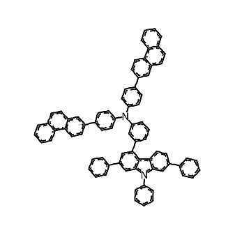 c1ccc(-c2ccc3c4c(-c5cccc(N(c6ccc(-c7ccc8c(ccc9ccccc98)c7)cc6)c6ccc(-c7ccc8c(ccc9ccccc98)c7)cc6)c5)cc(-c5ccccc5)cc4n(-c4ccccc4)c3c2)cc1